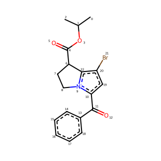 CC(C)OC(=O)C1CCn2c(C(=O)c3ccccc3)cc(Br)c21